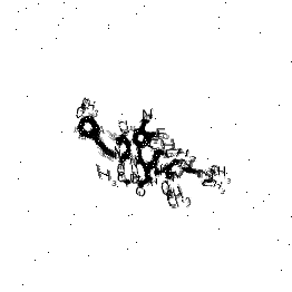 CCOC(=O)c1nn(-c2cnc(N(C)C)nc2OC)c(C(C)C)c1C(Nc1cc(Cl)cn(Cc2ccc(OC)cc2)c1=O)c1ccc(C#N)c(F)c1